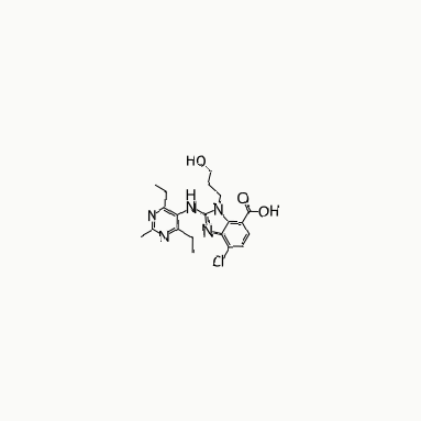 CCc1nc(C)nc(CC)c1Nc1nc2c(Cl)ccc(C(=O)O)c2n1CCCO